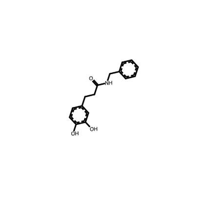 O=C(CCc1ccc(O)c(O)c1)NCc1ccccc1